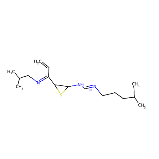 C=CC(=NCC(C)C)C1SC1N/C=N/CCCC(C)C